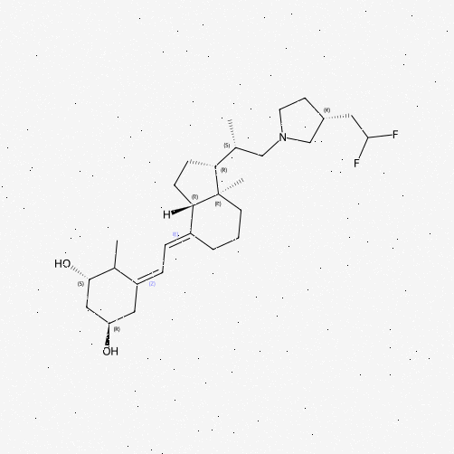 CC1/C(=C\C=C2/CCC[C@]3(C)[C@@H]([C@H](C)CN4CC[C@H](CC(F)F)C4)CC[C@@H]23)C[C@@H](O)C[C@@H]1O